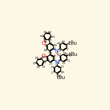 CC(C)(C)c1ccc(N2B3c4cc(C(C)(C)C)ccc4N(c4ccc(C(C)(C)C)cc4)c4cc5c(oc6ccccc65)c(c43)-c3cc4oc5ccccc5c4cc32)cc1